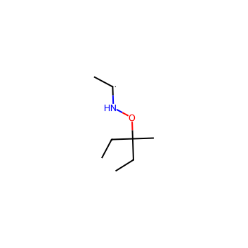 C[CH]NOC(C)(CC)CC